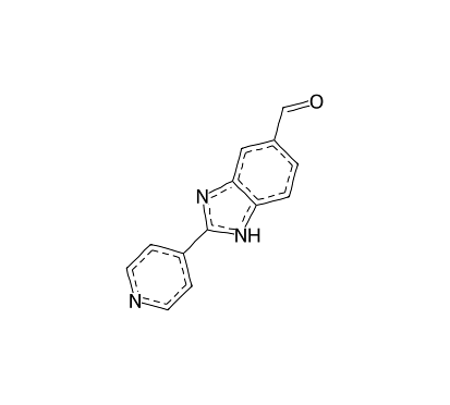 O=Cc1ccc2[nH]c(-c3ccncc3)nc2c1